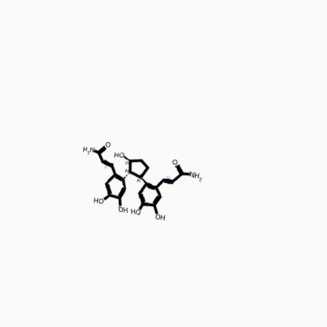 NC(=O)/C=C/c1cc(O)c(O)cc1[C@@H]1[C@@H](O)CC[C@H]1c1cc(O)c(O)cc1/C=C/C(N)=O